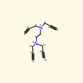 C#CCN(CC#C)CCN(CC#C)CC#C